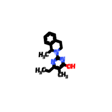 CCc1nc(N2CCc3ccccc3C2C)nc(O)c1C